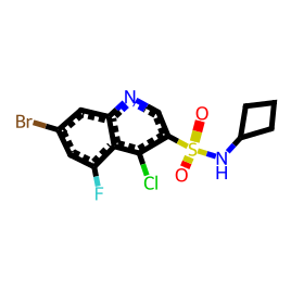 O=S(=O)(NC1CCC1)c1cnc2cc(Br)cc(F)c2c1Cl